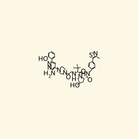 Cc1ncsc1-c1ccc(CNC(=O)[C@@H]2C[C@@H](O)CN2C(=O)[C@@H](NCC(=O)N2CCN(c3cc(-c4ccccc4O)nnc3N)CC2)C(C)(C)C)cc1